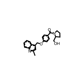 Cc1cc(COc2ccc(C(=O)N3CCCC3CO)cc2)c2ccccc2n1